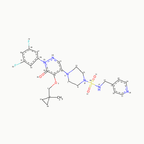 CC1(COc2c(N3CCN(S(=O)(=O)NCc4ccncc4)CC3)cnn(-c3cc(F)cc(F)c3)c2=O)CC1